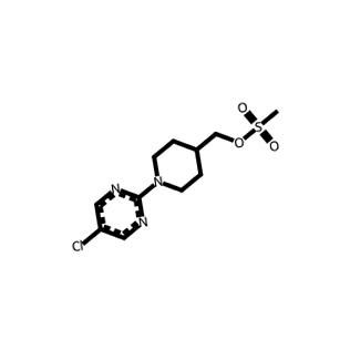 CS(=O)(=O)OCC1CCN(c2ncc(Cl)cn2)CC1